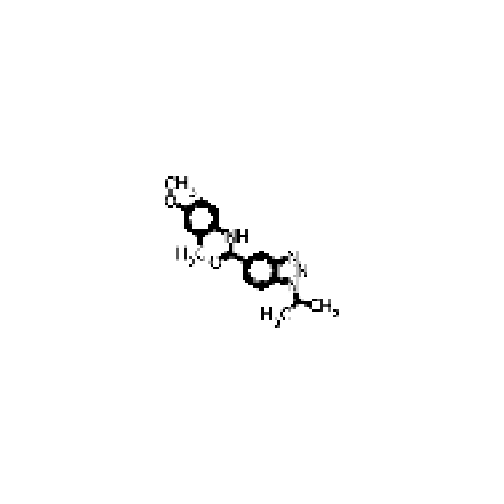 COc1ccc(NC(=O)c2ccc3c(c2)nnn3C(C)C)c(C)c1